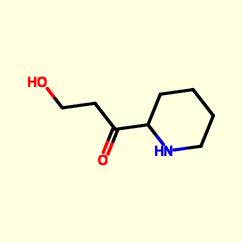 O=C(CCO)C1CCCCN1